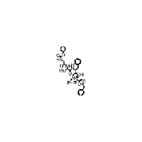 CC(C)CN(CC(O)C(Cc1ccccc1)NC(=O)C(NC(=O)CNC(=O)OC1CCCC1)C(C)(C)C)S(=O)(=O)C1=COC(Cc2ccccc2)O1